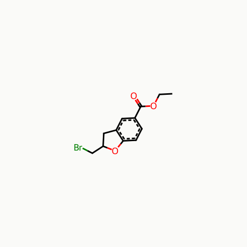 CCOC(=O)c1ccc2c(c1)CC(CBr)O2